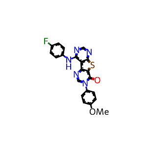 COc1ccc(-n2cnc3c(sc4ncnc(Nc5ccc(F)cc5)c43)c2=O)cc1